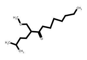 CCCCCCCC(=O)C(CCC(C)C)COC